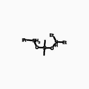 CC[SiH](CC)O[Si](C)(C)O[SiH2]C(C)C